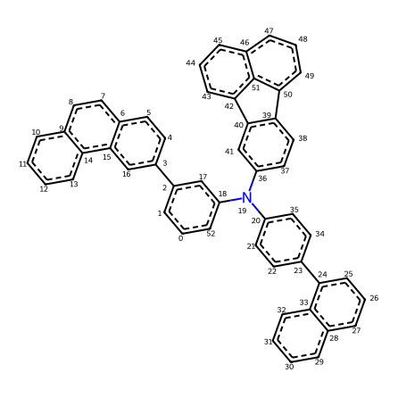 c1cc(-c2ccc3ccc4ccccc4c3c2)cc(N(c2ccc(-c3cccc4ccccc34)cc2)c2ccc3c(c2)-c2cccc4cccc-3c24)c1